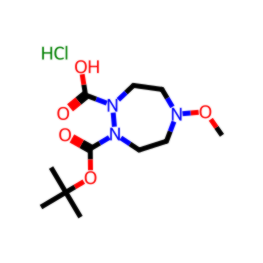 CON1CCN(C(=O)O)N(C(=O)OC(C)(C)C)CC1.Cl